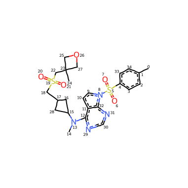 Cc1ccc(S(=O)(=O)n2ccc3c(N(C)C4CC(CS(=O)(=O)CC5(C)COC5)C4)ncnc32)cc1